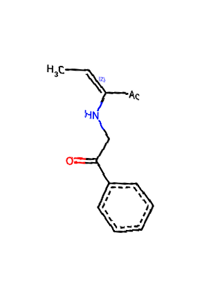 C/C=C(\NCC(=O)c1ccccc1)C(C)=O